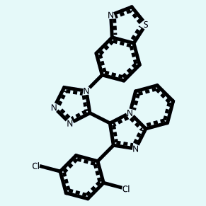 Clc1ccc(Cl)c(-c2nc3ccccn3c2-c2nncn2-c2ccc3scnc3c2)c1